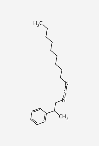 CCCCCCCCCN=C=NCC(C)c1ccccc1